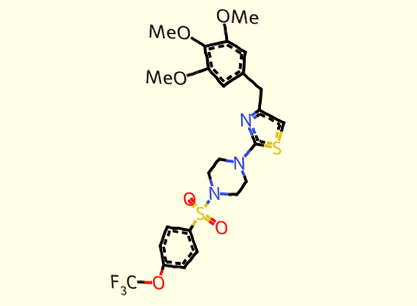 COc1cc(Cc2csc(N3CCN(S(=O)(=O)c4ccc(OC(F)(F)F)cc4)CC3)n2)cc(OC)c1OC